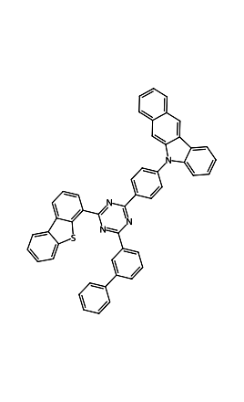 c1ccc(-c2cccc(-c3nc(-c4ccc(-n5c6ccccc6c6cc7ccccc7cc65)cc4)nc(-c4cccc5c4sc4ccccc45)n3)c2)cc1